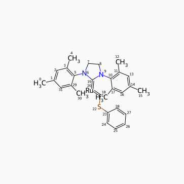 Cc1cc(C)c(N2CCN(c3c(C)cc(C)cc3C)[C]2=[Ru]=[CH]Sc2ccccc2)c(C)c1